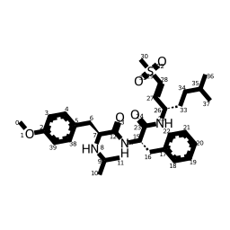 COc1ccc(C[C@H](NC(C)C)C(=O)N[C@@H](Cc2ccccc2)C(=O)N[C@H](/C=C/S(C)(=O)=O)CCC(C)C)cc1